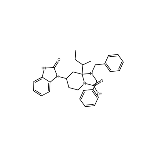 CCC(C)C1(N(Cc2ccccc2)Cc2ccccc2)CC(n2c(=O)[nH]c3ccccc32)CCN1C(=O)O